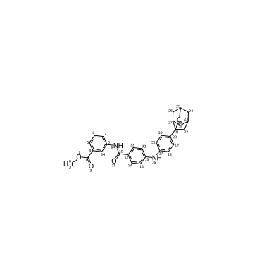 COC(=O)c1cccc(NC(=O)c2ccc(Nc3ccc(C45CC6CC(CC4C6)C5)cc3)cc2)c1